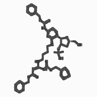 CC(C)(O)O[C@@H]1C[C@@H](CO)O[C@H]1n1ccc(NC(=O)OCc2ccccc2)n/c1=N\CCCCN/C(=N/C(=O)OCc1ccccc1)NC(=O)OCc1ccccc1